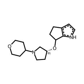 c1cc2c([nH]1)C(O[C@@H]1CCN(C3CCOCC3)C1)CC2